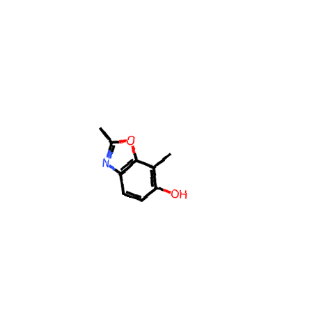 Cc1nc2ccc(O)c(C)c2o1